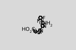 CC(Oc1cc(-c2cc3n(n2)CC[C@@]32CCN(C(=O)O)C2)cnc1N)c1c(F)cccc1F